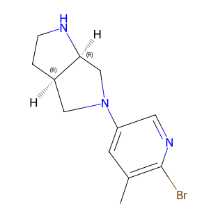 Cc1cc(N2C[C@H]3CCN[C@H]3C2)cnc1Br